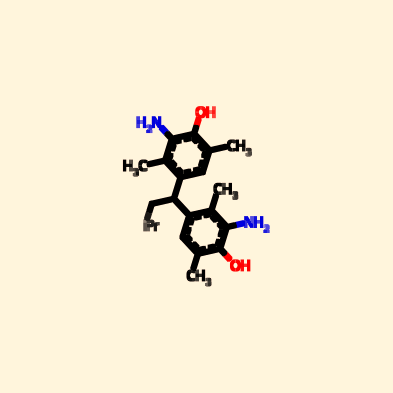 Cc1cc(C(CC(C)C)c2cc(C)c(O)c(N)c2C)c(C)c(N)c1O